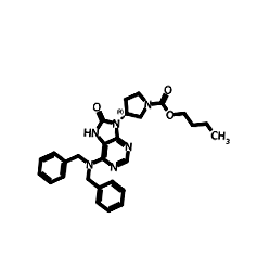 CCCCOC(=O)N1CC[C@@H](n2c(=O)[nH]c3c(N(Cc4ccccc4)Cc4ccccc4)ncnc32)C1